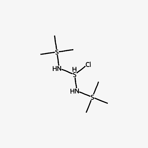 CS(C)(C)N[SH](Cl)NS(C)(C)C